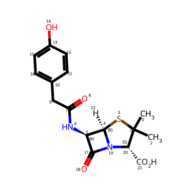 CC1(C)S[C@@H]2[C@H](NC(=O)Cc3ccc(O)cc3)C(=O)N2[C@H]1C(=O)O